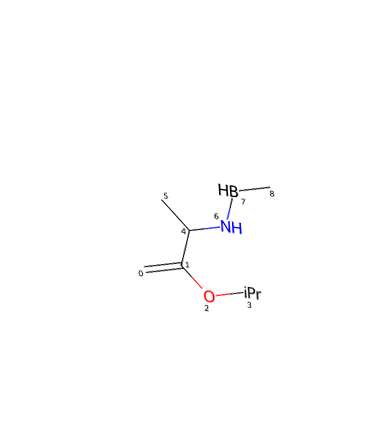 C=C(OC(C)C)C(C)NBC